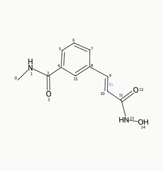 CNC(=O)c1cccc(/C=C/C(=O)NO)c1